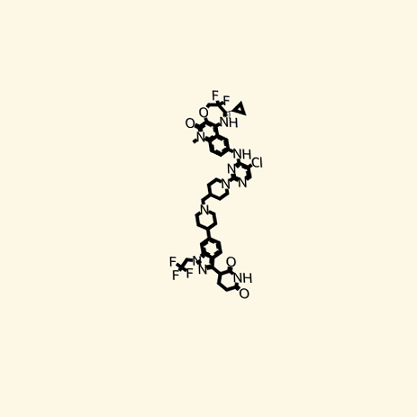 Cn1c(=O)c2c(c3cc(Nc4nc(N5CCC(CN6CCC(c7ccc8c(C9CCC(=O)NC9=O)nn(CC(F)(F)F)c8c7)CC6)CC5)ncc4Cl)ccc31)N[C@@H](C1CC1)C(F)(F)CO2